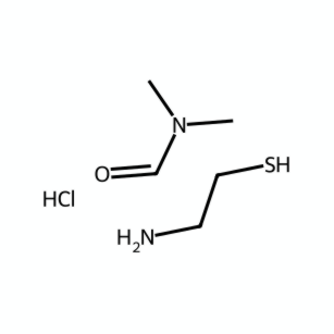 CN(C)C=O.Cl.NCCS